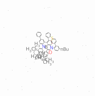 CCCCc1ccc(N2c3cc4sc5ccccc5c4c4c3B(c3c2oc2cc5c(cc32)C(C)(C)CCC5(C)C)N(c2ccc3c(c2)C(C)(C)CCC3(C)C)c2ccc(-c3ccccc3)cc2-4)c(-c2ccccc2)c1